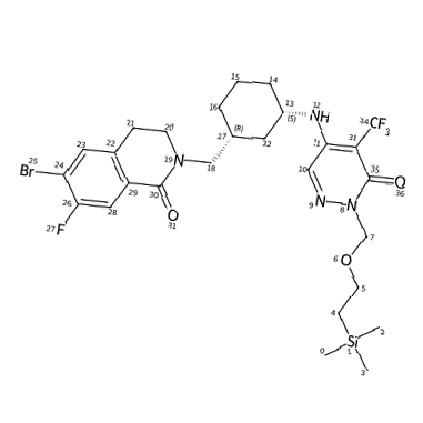 C[Si](C)(C)CCOCn1ncc(N[C@H]2CCC[C@@H](CN3CCc4cc(Br)c(F)cc4C3=O)C2)c(C(F)(F)F)c1=O